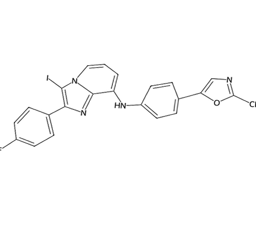 Cc1ncc(-c2ccc(Nc3cccn4c(I)c(-c5ccc(F)cc5)nc34)cc2)o1